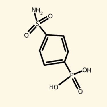 NS(=O)(=O)c1ccc(P(=O)(O)O)cc1